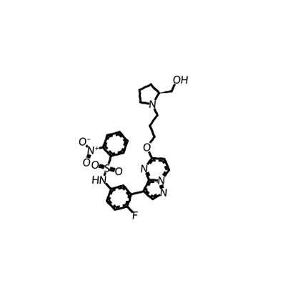 O=[N+]([O-])c1ccccc1S(=O)(=O)Nc1ccc(F)c(-c2cnn3ccc(OCCCN4CCC[C@H]4CO)nc23)c1